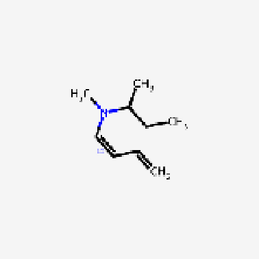 C=C/C=C\N(C)C(C)CC